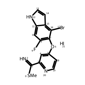 CSC(=N)c1cc(Oc2c(F)cc3[nH]ccc3c2Br)ccn1.I